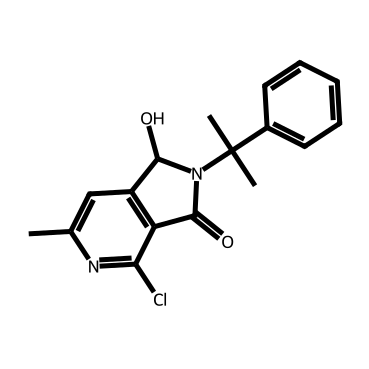 Cc1cc2c(c(Cl)n1)C(=O)N(C(C)(C)c1ccccc1)C2O